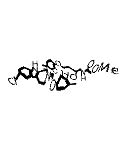 COCC(=O)NCC(O)CCOC1=CCC(C)([C@H]2c3[nH]c4ccc(Cl)cc4c3CCN2C(=O)Oc2ccc(C)cc2)C=C1